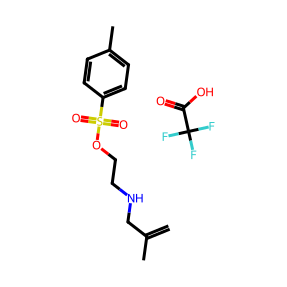 C=C(C)CNCCOS(=O)(=O)c1ccc(C)cc1.O=C(O)C(F)(F)F